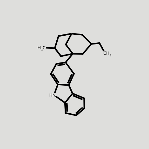 CCC1CC2CC(C)CC(c3ccc4[nH]c5ccccc5c4c3)(C1)C2